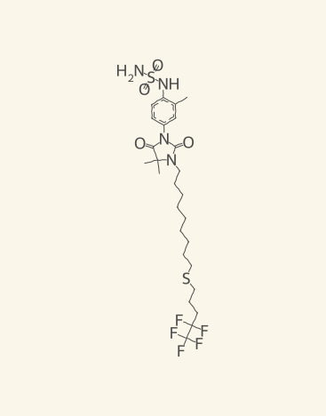 Cc1cc(N2C(=O)N(CCCCCCCCCSCCCC(F)(F)C(F)(F)F)C(C)(C)C2=O)ccc1NS(N)(=O)=O